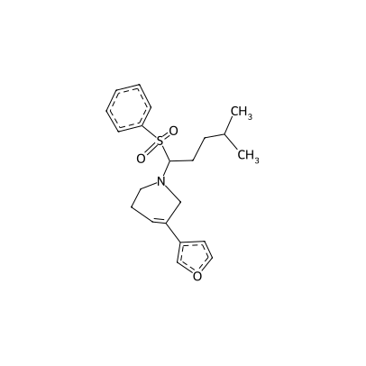 CC(C)CCC(N1CCC=C(c2ccoc2)C1)S(=O)(=O)c1ccccc1